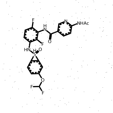 CC(=O)Nc1ccc(C(=O)Nc2c(F)ccc(N[SH]3(=O)c4ccc(OC(F)F)cc43)c2F)cn1